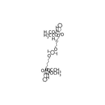 CC(C)(C)OC(=O)NC(Cc1ccccc1)C(=O)OCCCCCCOc1cc(I)c(OCCCCCCOC(=O)[C@H](Cc2ccccc2)NC(=O)OC(C)(C)C)cc1I